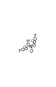 O=C(CN(Cc1ccccc1)CC(O)[C@H]1CCc2cc(F)ccc2O1)[C@@H]1CCc2cc(F)ccc2O1